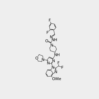 COc1cccc2c1nc(C(F)F)n2-c1nc(NC2CCN(C(=O)N/N=C/c3ccc(F)cc3F)CC2)cc(N2CCOCC2)n1